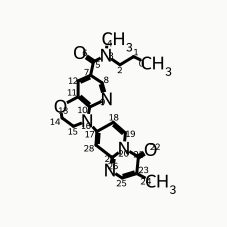 CCCN(C)C(=O)c1cnc2c(c1)OCCN2c1ccn2c(=O)c(C)cnc2c1